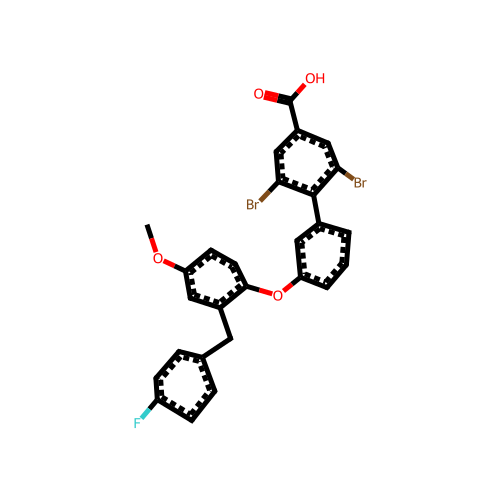 COc1ccc(Oc2cccc(-c3c(Br)cc(C(=O)O)cc3Br)c2)c(Cc2ccc(F)cc2)c1